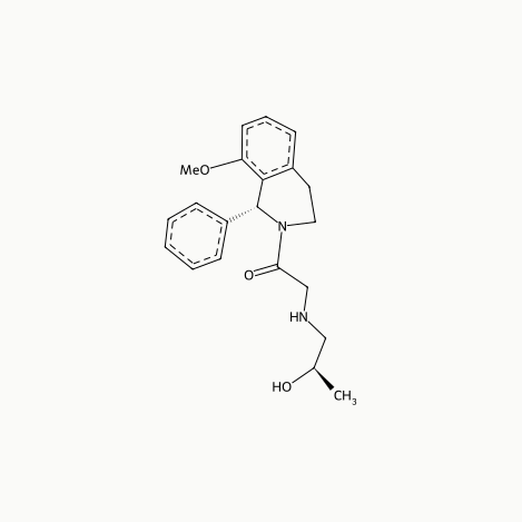 COc1cccc2c1[C@@H](c1ccccc1)N(C(=O)CNC[C@@H](C)O)CC2